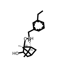 CCc1cccc(CBO[C@]2(C)C(O)CC3C[C@H]2C3(C)C)c1